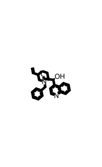 C=CC1C[N+]2(Cc3ccccc3)CCC1CC2[C@@H](O)c1ccnc2ccccc12